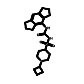 O=C(Nc1c2c(cc3c1CCC3)CCC2)NS(=O)(=O)C1CCN(C2CCC2)CC1